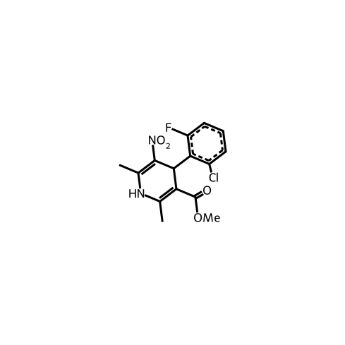 COC(=O)C1=C(C)NC(C)=C([N+](=O)[O-])C1c1c(F)cccc1Cl